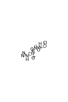 CC(=O)c1cn(C(=O)CN2CCC[C@H]2C(=O)NCc2cccc(Cl)c2)c2ccc(Nc3cncnc3)cc12